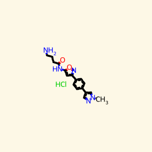 Cl.Cn1cc(-c2ccc(-c3cc(NC(=O)CCCN)on3)cc2)cn1